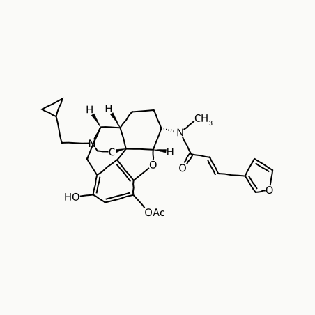 CC(=O)Oc1cc(O)c2c3c1O[C@H]1[C@@H](N(C)C(=O)/C=C/c4ccoc4)CC[C@H]4[C@@H](C2)N(CC2CC2)CC[C@@]341